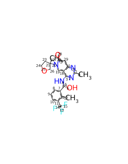 Cc1nc(N[C@H](O)c2cccc(C(F)(F)F)c2C)c2cn(C3(C)CCOC3)c(=O)cc2n1